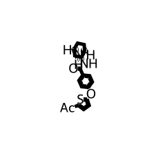 CC(=O)c1ccc(Oc2ccc(C(=O)N[C@@H]3C[C@H]4CC[C@@H]3N4)cc2)s1